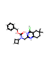 CC1(C)CCc2nc(CN(C(=O)OCc3ccccc3)C3CCC3)nc(Cl)c2C1